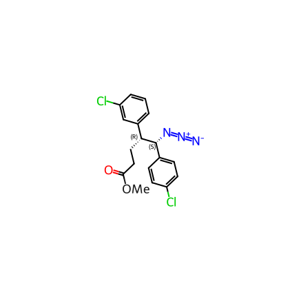 COC(=O)CC[C@H](c1cccc(Cl)c1)[C@H](N=[N+]=[N-])c1ccc(Cl)cc1